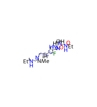 C=C/C=C(\C=C(\F)C(=C)c1cnc(C2[C@H]3CC[C@H](C3)N2C(=O)CNC(=O)CC)[nH]1)C(=C/C)/C=C(/C=C\C/N=C(/CCNC(=C)CC)NC)C(C)C